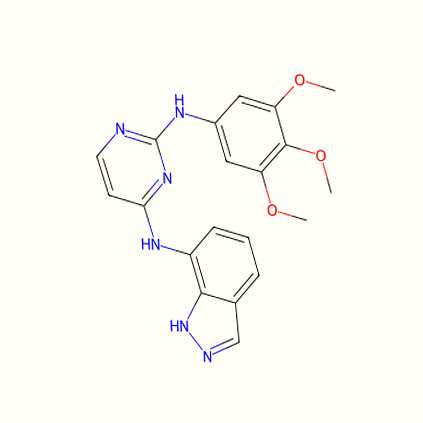 COc1cc(Nc2nccc(Nc3cccc4cn[nH]c34)n2)cc(OC)c1OC